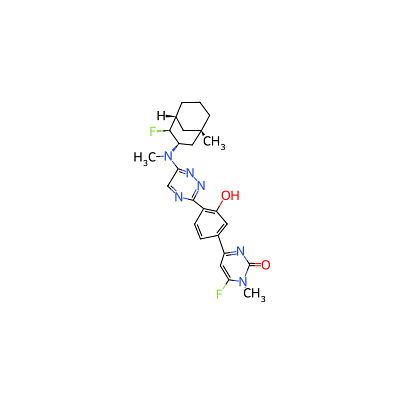 CN(c1cnc(-c2ccc(-c3cc(F)n(C)c(=O)n3)cc2O)nn1)[C@@H]1C[C@@]2(C)CCC[C@H](C2)[C@@H]1F